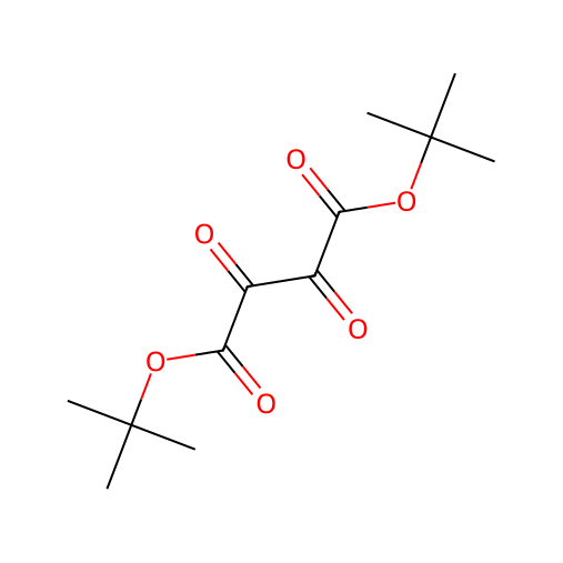 CC(C)(C)OC(=O)C(=O)C(=O)C(=O)OC(C)(C)C